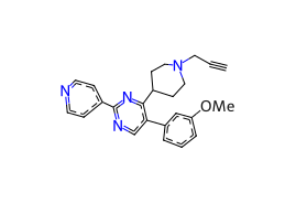 C#CCN1CCC(c2nc(-c3ccncc3)ncc2-c2cccc(OC)c2)CC1